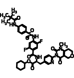 Cn1c2c(c(=O)n(-c3ccc(C[C@H](NC(=O)c4cc(F)c(NS(=O)(=O)c5ccc(NC(=O)C(C)(C)C)cc5)cc4F)C(=O)OC4CCCCC4)cn3)c1=O)COCC2